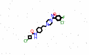 O=C(NC1CCC(CCN2CCN(c3noc4cc(F)c(Cl)cc34)CC2)CC1)[C@H]1C[C@H](Cl)C1